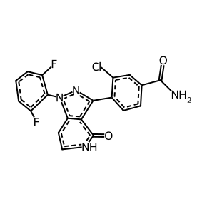 NC(=O)c1ccc(-c2nn(-c3c(F)cccc3F)c3cc[nH]c(=O)c23)c(Cl)c1